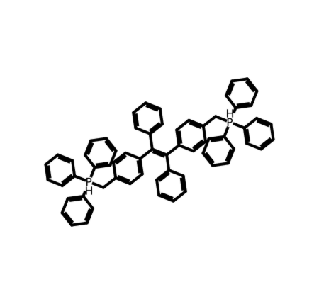 c1ccc(C(=C(c2ccccc2)c2ccc(C[PH](c3ccccc3)(c3ccccc3)c3ccccc3)cc2)c2ccc(C[PH](c3ccccc3)(c3ccccc3)c3ccccc3)cc2)cc1